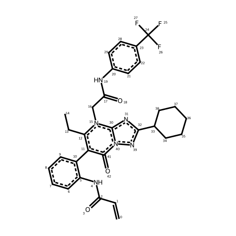 C=CC(=O)Nc1ccccc1-c1c(CC)n(CC(=O)Nc2ccc(C(F)(F)F)cc2)c2nc(C3CCCCC3)nn2c1=O